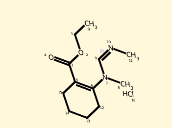 CCOC(=O)C1=C(N(C)/C=N\C)CCCC1.Cl